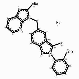 CCCCc1nc2cccnc2n1Cc1ccc2nn(-c3ccccc3C(=O)[O-])c(Br)c2c1.[Na+]